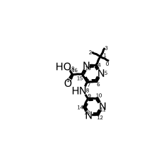 CC(C)(C)c1ncc(Nc2cncnc2)c(C(=O)O)n1